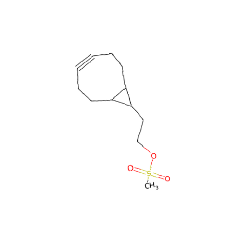 CS(=O)(=O)OCCC1C2CCC#CCCC21